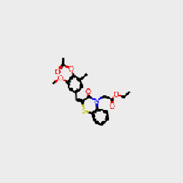 CCOC(=O)CN1C(=O)/C(=C\c2cc(C)c(OC(C)=O)c(OC)c2)Sc2ccccc21